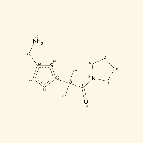 CC(C)(C(=O)N1CCCC1)c1ccc(CN)s1